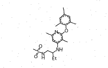 CCC(CNS(C)(=O)=O)Nc1cc(C)nc(Oc2c(C)cc(C)cc2C)c1C